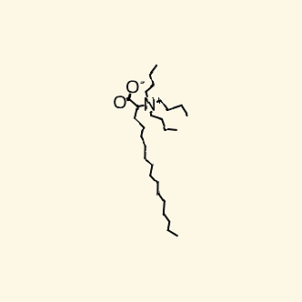 CCCCCCCCCCCCCCC(C(=O)[O-])[N+](CCCC)(CCCC)CCCC